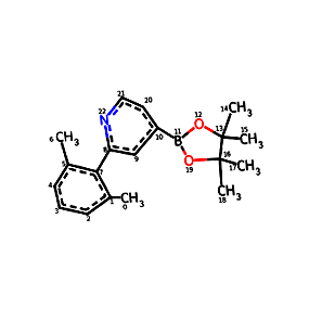 Cc1cccc(C)c1-c1cc(B2OC(C)(C)C(C)(C)O2)ccn1